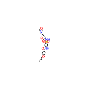 CCCCOc1ccc(C(=O)Nc2ccc(S(=O)(=O)NC(CC#CCN3CCOCC3)C(=O)OC)cc2)cc1